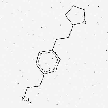 O=[N+]([O-])CCc1ccc(CCC2CCCO2)cc1